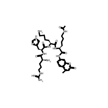 CC(=O)NCCCC[C@H](NC(=O)[C@H](CCCCN)NC(=O)[C@H](Cc1c[nH]cn1)NC(=O)[C@@H](N)CCCNC(=N)N)C(=O)Nc1ccc2c(C)cc(=O)oc2c1